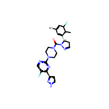 CC1C([C@@H]2CC=NN2C(=O)N2CCN(c3ncc(F)c(-c4cc[nH]n4)n3)CC2)=CC(C#N)=CC1F